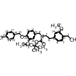 CCc1ccc(CCN(Cc2ccc(OCc3ccc(Cl)nc3)c(OC)c2)C(=O)OC(C)(C)C)cc1OC